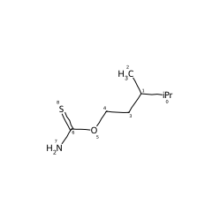 CC(C)C(C)CCOC(N)=S